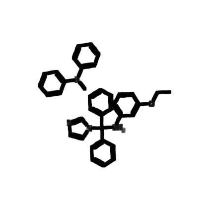 CB(c1ccccc1)c1ccccc1.CCOc1cccc([SiH2]C(c2ccccc2)(c2ccccc2)n2ccnc2)c1